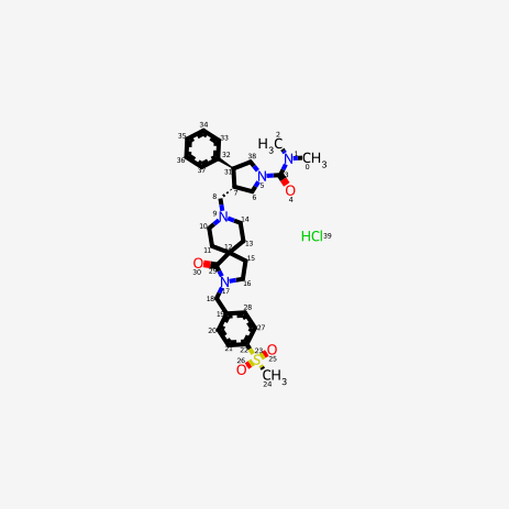 CN(C)C(=O)N1C[C@H](CN2CCC3(CC2)CCN(Cc2ccc(S(C)(=O)=O)cc2)C3=O)[C@@H](c2ccccc2)C1.Cl